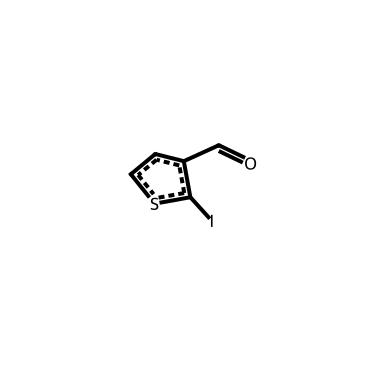 O=Cc1ccsc1I